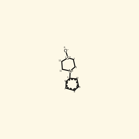 [O-][S+]1CCN(c2cc[c]cc2)CC1